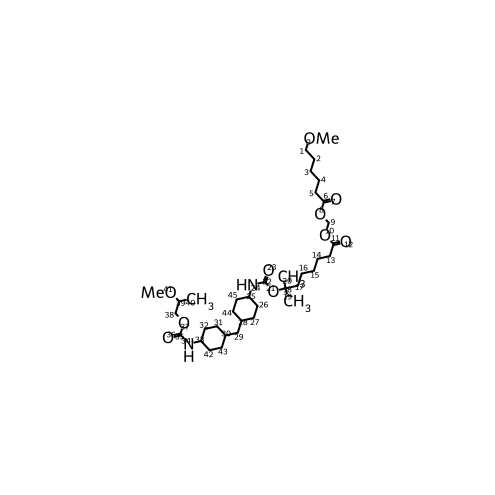 COCCCCCC(=O)OCOC(=O)CCCCCC(C)(C)OC(=O)NC1CCC(CC2CCC(NC(=O)OCC(C)OC)CC2)CC1